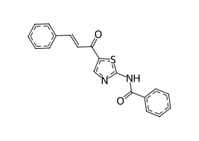 O=C(Nc1ncc(C(=O)C=Cc2ccccc2)s1)c1ccccc1